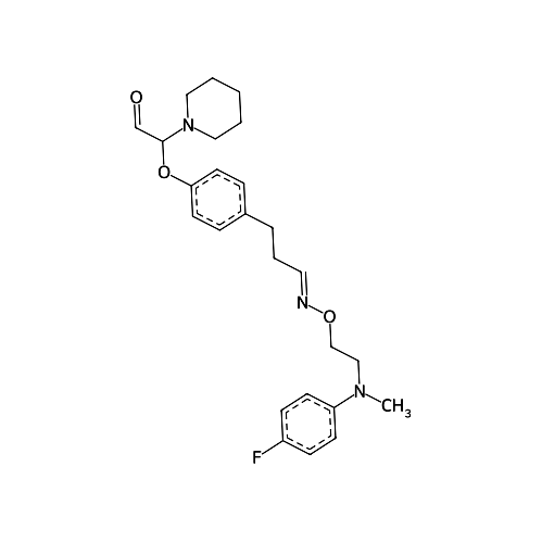 CN(CCON=CCCc1ccc(OC(C=O)N2CCCCC2)cc1)c1ccc(F)cc1